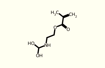 C=C(C)C(=O)OCCNC(O)O